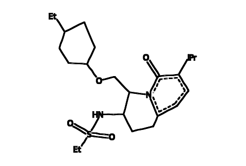 CCC1CCC(OCC2C(NS(=O)(=O)CC)CCc3ccc(C(C)C)c(=O)n32)CC1